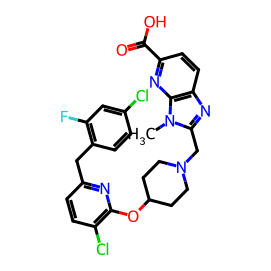 Cn1c(CN2CCC(Oc3nc(Cc4ccc(Cl)cc4F)ccc3Cl)CC2)nc2ccc(C(=O)O)nc21